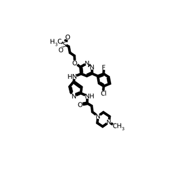 CN1CCN(CCC(=O)Nc2cc(Nc3cc(-c4cc(Cl)ccc4F)nnc3OCCCS(C)(=O)=O)ccn2)CC1